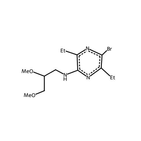 CCc1nc(NCC(COC)OC)c(CC)nc1Br